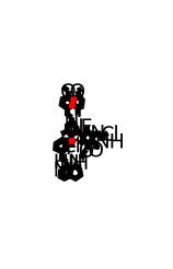 COc1ccc(CN(Cc2ccc(OC)cc2)c2cc(C)c(C(F)(F)F)c(-c3c(Cl)c(OCCN[C@@H]4CCCc5ccnc(NCc6ccccc6)c54)c4c(=O)[nH]c(Cl)nc4c3F)n2)cc1